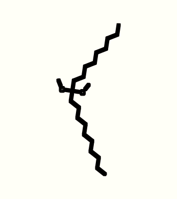 CCCCCCCCCCC(CCCCCCCCC)(OC)OC